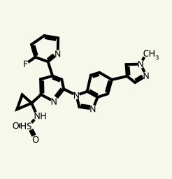 Cn1cc(-c2ccc3c(c2)ncn3-c2cc(-c3ncccc3F)cc(C3(N[SH](=O)=O)CC3)n2)cn1